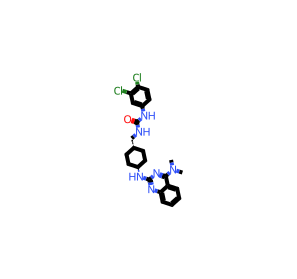 CN(C)c1nc(N[C@H]2CC[C@@H](CNC(=O)Nc3ccc(Cl)c(Cl)c3)CC2)nc2ccccc12